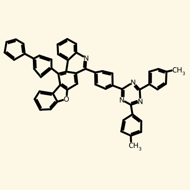 Cc1ccc(-c2nc(-c3ccc(C)cc3)nc(-c3ccc(-c4nc5ccccc5c5c(-c6ccc(-c7ccccc7)cc6)c6c(cc45)oc4ccccc46)cc3)n2)cc1